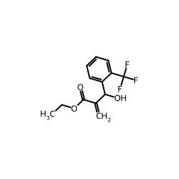 C=C(C(=O)OCC)C(O)c1ccccc1C(F)(F)F